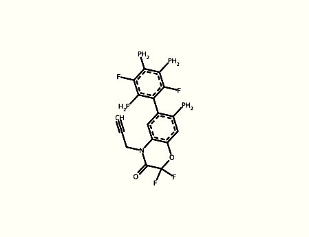 C#CCN1C(=O)C(F)(F)Oc2cc(P)c(-c3c(F)c(P)c(P)c(F)c3P)cc21